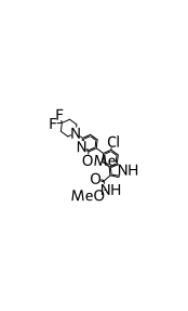 CONC(=O)c1c[nH]c2cc(Cl)c(-c3ccc(N4CCC(F)(F)CC4)nc3OC)cc12